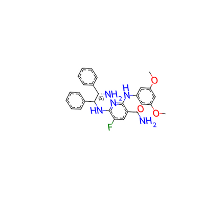 COc1cc(Nc2nc(NC(c3ccccc3)[C@@H](N)c3ccccc3)c(F)cc2C(N)=O)cc(OC)c1